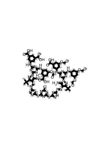 CC(C)(C)c1nn(-c2nc(Nc3cc(OC=O)cc(OC=O)c3)nc(Nc3cc(OC=O)cc(C(=O)O)c3)n2)c(N)c1N=Nc1nnc(Sc2nc(Cl)nc(Sc3nnc(N=Nc4c(C(C)(C)C)nn(-c5nc(Nc6cc(OC=O)cc(C(=O)O)c6)nc(Nc6cc(C(=O)O)cc(C(=O)O)c6)n5)c4N)s3)n2)s1